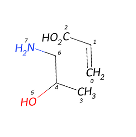 C=CC(=O)O.CC(O)CN